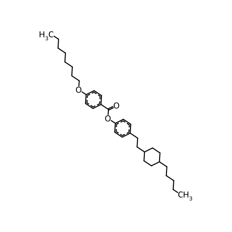 CCCCCCCCOc1ccc(C(=O)Oc2ccc(CCC3CCC(CCCCC)CC3)cc2)cc1